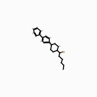 CCCCCC(Br)C1CCC(c2ccc(-c3ccccc3)cc2)CC1